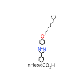 CCCCCC[C@@](C)(C(=O)O)c1ccc(-c2cnc(-c3ccc(OCCCCCCCC4CCCC4)cc3)nc2)cc1